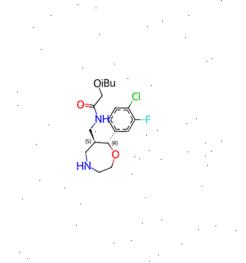 CC(C)COCC(=O)NC[C@@H]1CNCCO[C@H]1c1ccc(Cl)c(F)c1